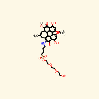 COc1c2c3c4c(c(NCCCCS(=O)(=O)OCCOCCOCCO)c(=O)c5c(O)cc(OC)c(c6c(OC)cc(O)c(c1=O)c63)c54)CC(C)=C2